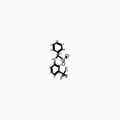 O=[N+]([O-])C(Sc1cccc(C(F)(F)F)c1)c1ccccc1